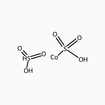 O=[SH](=O)O.O=[S](=O)(O)[Co]